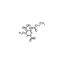 CCOC(=O)Nc1cc([N+](=O)[O-])cc(C)c1C(=O)O